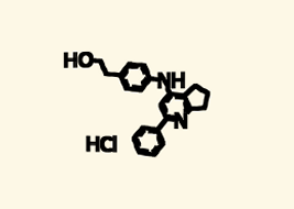 Cl.OCCc1ccc(Nc2cc(-c3ccccc3)nc3c2CCC3)cc1